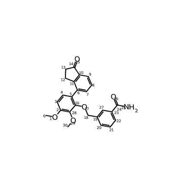 COc1ccc(-c2cccc3c2CCC3=O)c(OCc2cccc(C(N)=O)c2)c1OC